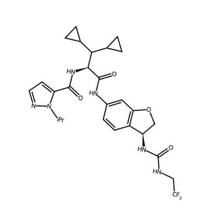 CC(C)n1nccc1C(=O)N[C@H](C(=O)Nc1ccc2c(c1)OC[C@H]2NC(=O)NCC(F)(F)F)C(C1CC1)C1CC1